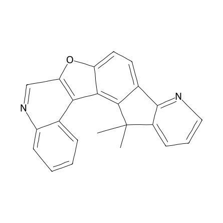 CC1(C)c2cccnc2-c2ccc3oc4cnc5ccccc5c4c3c21